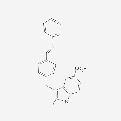 Cc1[nH]c2ccc(C(=O)O)cc2c1Cc1ccc(C=Cc2ccccc2)cc1